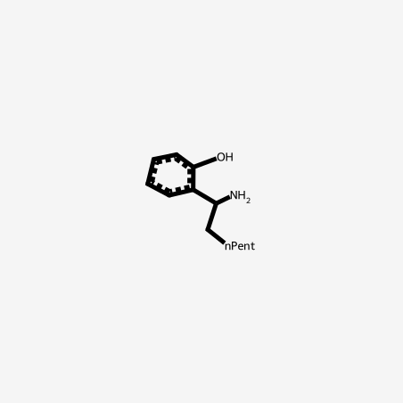 CCCCCCC(N)c1ccccc1O